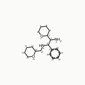 NC(C1CCCCO1)C(NCC1CCCCO1)c1ccccc1